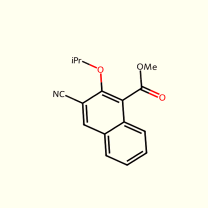 COC(=O)c1c(OC(C)C)c(C#N)cc2ccccc12